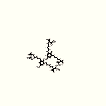 Cc1c(CCCCCC2(C(=O)O)CC2)cc(COc2c(CCCCCC3(C(=O)O)CC3)cc(O)cc2CCCCCC2(C(=O)O)CC2)cc1CCCCCC1(C(=O)O)CC1